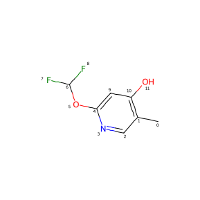 Cc1cnc(OC(F)F)cc1O